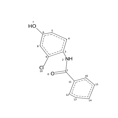 O=C(Nc1ccc(O)cc1Cl)c1ccccc1